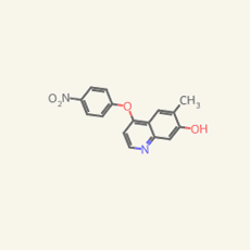 Cc1cc2c(Oc3ccc([N+](=O)[O-])cc3)ccnc2cc1O